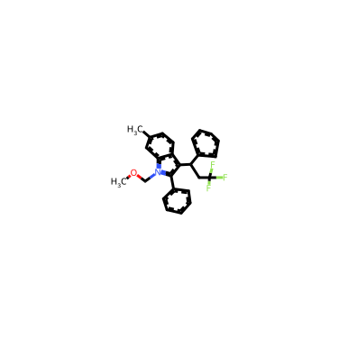 COCn1c(-c2ccccc2)c(C(CC(F)(F)F)c2ccccc2)c2ccc(C)cc21